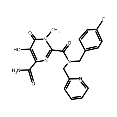 Cn1c(C(=O)N(Cc2ccc(F)cc2)Cc2ccccn2)nc(C(N)=O)c(O)c1=O